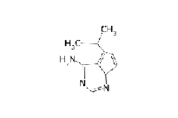 CC(C)C1=C2C(N)=NC=NC2C=C1